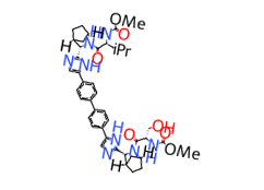 COC(=O)N[C@@H](CO)C(=O)N1[C@@H]2CC[C@@H](C2)[C@H]1c1ncc(-c2ccc(-c3ccc(-c4cnc([C@@H]5[C@H]6CC[C@H](C6)N5C(=O)[C@@H](NC(=O)OC)C(C)C)[nH]4)cc3)cc2)[nH]1